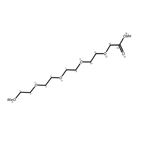 COCCOCCOCCOCCOCC(=O)OC